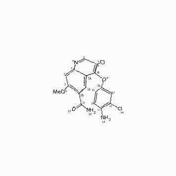 COc1cc2ncc(Cl)c(Oc3ccc(N)c(Cl)c3)c2cc1C(N)=O